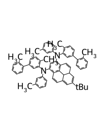 Cc1cccc(N(c2cc(-c3ccccc3C)ccc2C)c2cc(N(c3cccc(C)c3)c3cc(-c4ccccc4C)ccc3C)c3c4c2C=CC2=CC(C(C)(C)C)=CC(C=C3)C24)c1